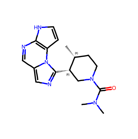 C[C@@H]1CCN(C(=O)N(C)C)C[C@@H]1c1ncc2cnc3[nH]ccc3n12